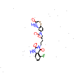 O=C1CSc2ccc(N3C[C@@H](CCCn4c(=O)[nH]c5cccc(F)c5c4=O)OC3=O)cc2N1